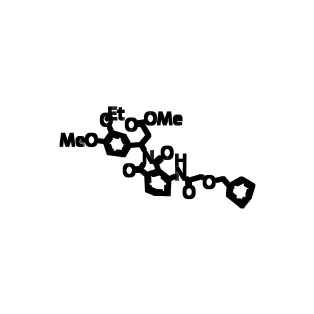 CCOc1cc(C(CC(=O)OC)N2C(=O)c3cccc(NC(=O)COCc4ccccc4)c3C2=O)ccc1OC